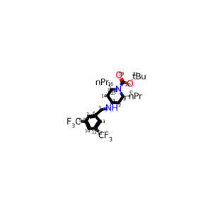 CCC[C@@H]1CC(NCc2cc(C(F)(F)F)cc(C(F)(F)F)c2)C[C@H](CCC)N1C(=O)OC(C)(C)C